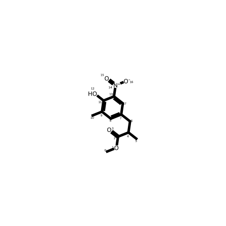 COC(=O)C(C)Cc1cc(C)c(O)c([N+](=O)[O-])c1